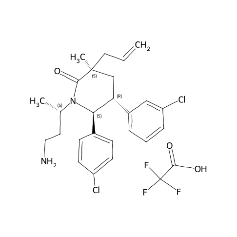 C=CC[C@@]1(C)C[C@H](c2cccc(Cl)c2)[C@@H](c2ccc(Cl)cc2)N([C@@H](C)CCN)C1=O.O=C(O)C(F)(F)F